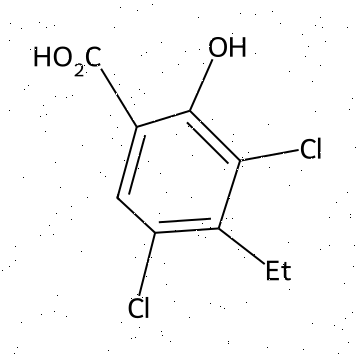 CCc1c(Cl)cc(C(=O)O)c(O)c1Cl